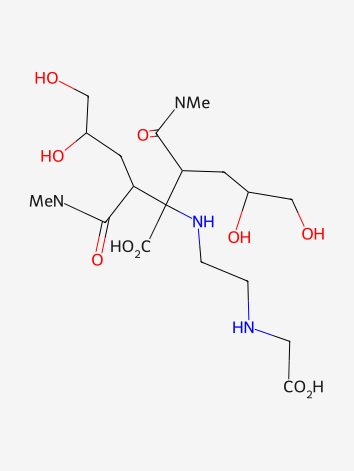 CNC(=O)C(CC(O)CO)C(NCCNCC(=O)O)(C(=O)O)C(CC(O)CO)C(=O)NC